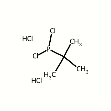 CC(C)(C)P(Cl)Cl.Cl.Cl